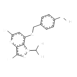 COc1ccc(CNc2cc(Br)nc3c(C)nn(C(C)C)c23)cc1